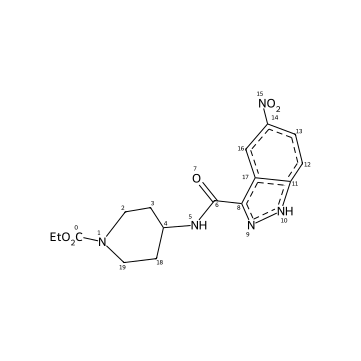 CCOC(=O)N1CCC(NC(=O)c2n[nH]c3ccc([N+](=O)[O-])cc23)CC1